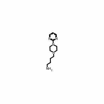 NCCCCN1CCN(c2ncccn2)CC1